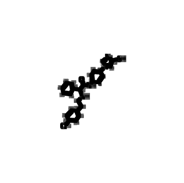 O=C(Nc1ccc(-n2cnc(S)c2)cc1)C(NCCc1ccc(Cl)cc1)c1ccccc1